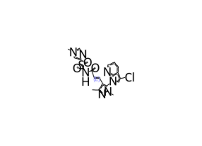 Cc1nn(C)c(-n2cc(Cl)c3cccnc32)c1/C=C/C(=O)NS(=O)(=O)c1cn(C)cn1